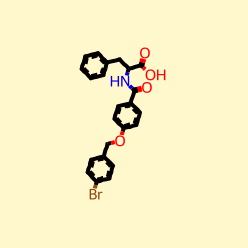 O=C(NC(Cc1ccccc1)C(=O)O)c1ccc(OCc2ccc(Br)cc2)cc1